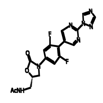 CC(=O)NC[C@H]1CN(c2cc(F)c(-c3cnc(-n4cncn4)nc3)c(F)c2)C(=O)O1